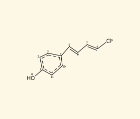 Oc1ccc(C=CC=CCl)cc1